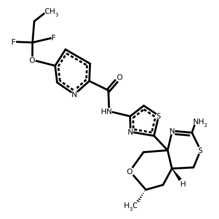 CCC(F)(F)Oc1ccc(C(=O)Nc2csc(C34CO[C@@H](C)C[C@H]3CSC(N)=N4)n2)nc1